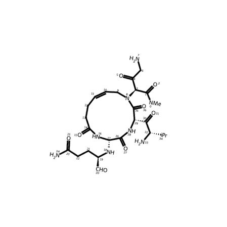 CNC(=O)[C@H](C(=O)CN)N1C/C=C\CCC(=O)N[C@@H](N[C@@H](C=O)CCC(N)=O)C(=O)N[C@@H](C(=O)[C@@H](N)C(C)C)C1=O